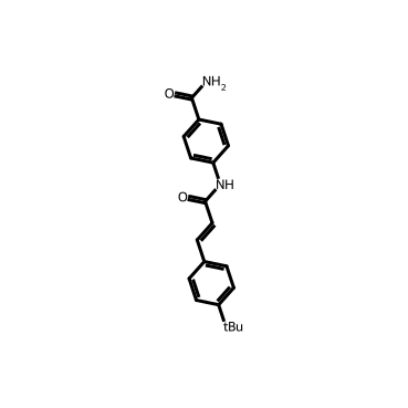 CC(C)(C)c1ccc(/C=C/C(=O)Nc2ccc(C(N)=O)cc2)cc1